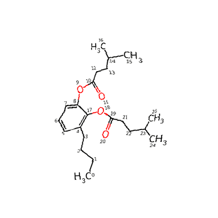 CCCCc1cccc(OC(=O)CCC(C)C)c1OC(=O)CCC(C)C